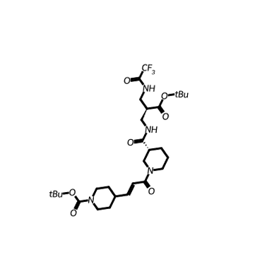 CC(C)(C)OC(=O)[C@@H](CNC(=O)[C@@H]1CCCN(C(=O)/C=C/C2CCN(C(=O)OC(C)(C)C)CC2)C1)CNC(=O)C(F)(F)F